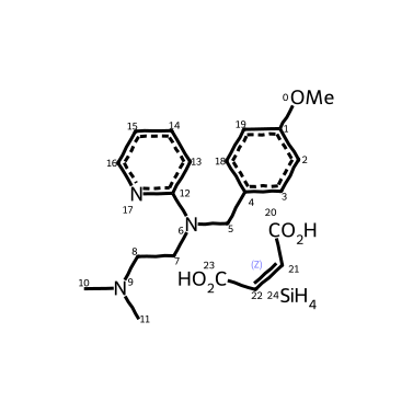 COc1ccc(CN(CCN(C)C)c2ccccn2)cc1.O=C(O)/C=C\C(=O)O.[SiH4]